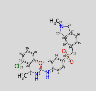 CC(NC(=O)Nc1ccc(S(=O)(=O)Cc2ccc3c(c2)CN(C)C3)cc1)c1ccccc1Cl